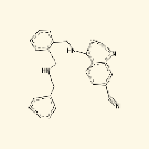 N#Cc1ccc2c(NCc3ccccc3CNCc3ccccc3)ccnc2c1